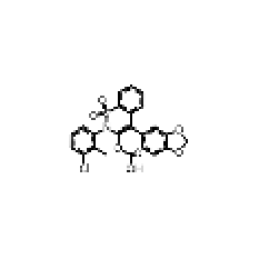 Cc1c(Cl)cccc1N1C(OC(=O)O)=C(c2ccc3c(c2)OCO3)c2ccccc2S1(=O)=O